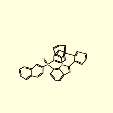 O=P(c1ccncc1)(c1ccc2cccnc2c1)c1cccc2nc3c4ccccc4c4ccccc4n3c12